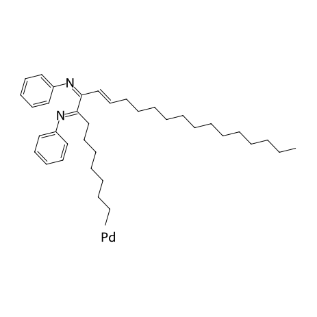 CCCCCCCCCCCCCC=CC(=Nc1ccccc1)C(CCCCCCCC)=Nc1ccccc1.[Pd]